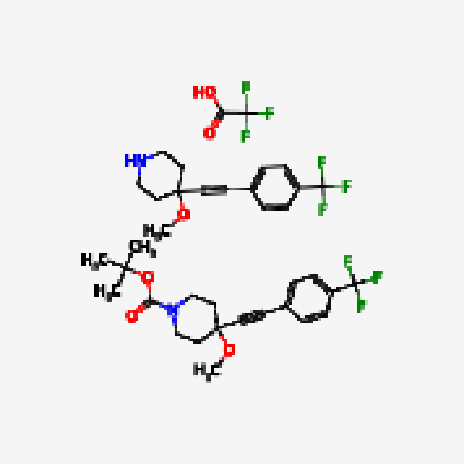 COC1(C#Cc2ccc(C(F)(F)F)cc2)CCN(C(=O)OC(C)(C)C)CC1.COC1(C#Cc2ccc(C(F)(F)F)cc2)CCNCC1.O=C(O)C(F)(F)F